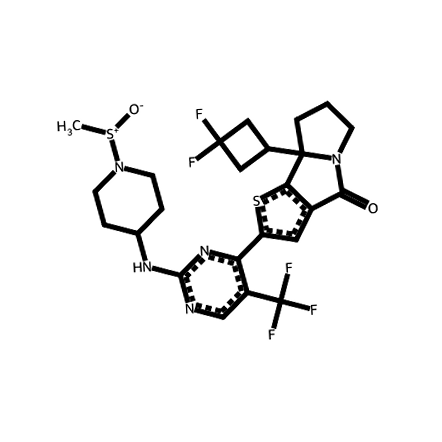 C[S+]([O-])N1CCC(Nc2ncc(C(F)(F)F)c(-c3cc4c(s3)C3(C5CC(F)(F)C5)CCCN3C4=O)n2)CC1